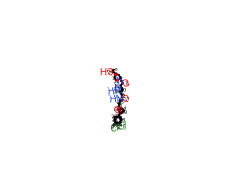 CC(O)C1CCN(C(=O)c2cc(C(=O)NCCc3ccc(-c4ccc(Cl)c(Cl)c4)o3)[nH]n2)CC1